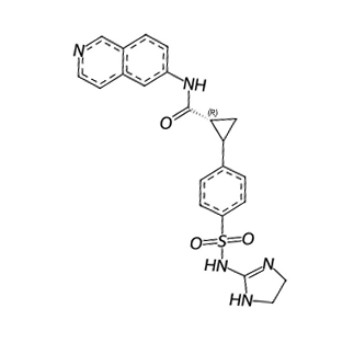 O=C(Nc1ccc2cnccc2c1)[C@@H]1CC1c1ccc(S(=O)(=O)NC2=NCCN2)cc1